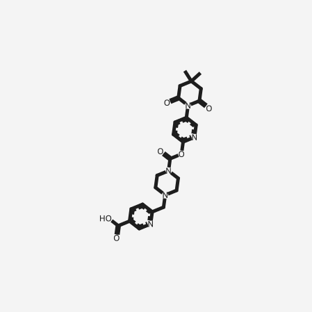 CC1(C)CC(=O)N(c2ccc(OC(=O)N3CCN(Cc4ccc(C(=O)O)cn4)CC3)nc2)C(=O)C1